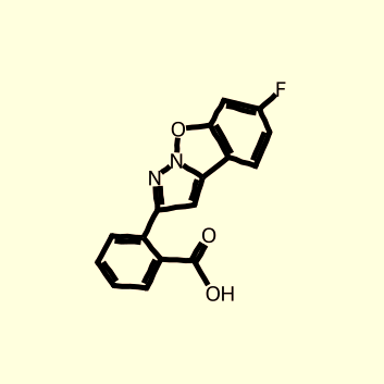 O=C(O)c1ccccc1-c1cc2c3ccc(F)cc3on2n1